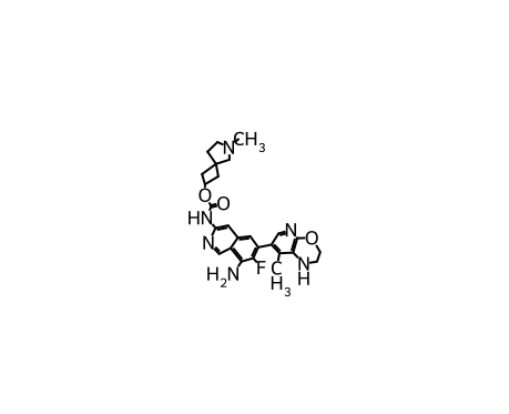 Cc1c(-c2cc3cc(NC(=O)OC4CC5(CCN(C)C5)C4)ncc3c(N)c2F)cnc2c1NCCO2